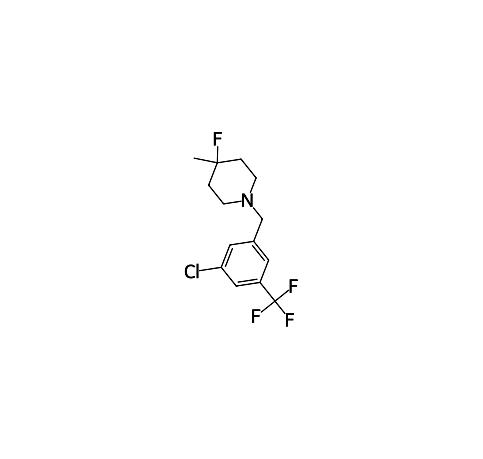 CC1(F)CCN(Cc2cc(Cl)cc(C(F)(F)F)c2)CC1